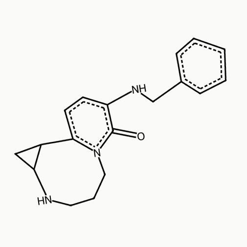 O=c1c(NCc2ccccc2)ccc2n1CCCNC1CC21